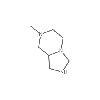 CN1CCN2CNCC2C1